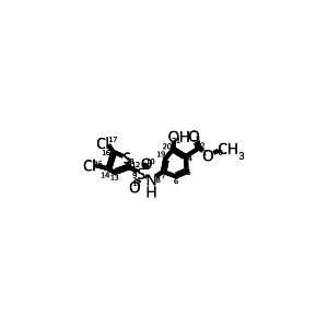 COC(=O)c1ccc(NS(=O)(=O)c2cc(Cl)c(Cl)s2)cc1O